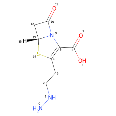 NNCCC1=C(C(=O)O)N2C(=O)C[C@H]2S1